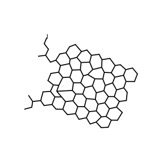 CCC(C)C1CC2CC3CC4CC5CC6CCC7CCC8C9CCC%10C%11CCCC%12CC%13CC%14CC%15CC%16CCC%17CC(CC(C)CCI)C%18C%19CCC%20C(C1)C2C1C3C2C4C3C5C4C6C7C8C5C6C9C%10C7C(C%12%11)C%13C8C%14C9C%15C%10C%16C%17C%18C%11C%12C%19C%20C1C1C2C2C3C(C45)C3C6C7C8C4C9C(C%10%11)C(C%121)C2C43